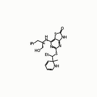 CCC(Sc1nc(N[C@@H](CO)CC(C)C)c2sc(=O)[nH]c2n1)C1(C)C=CC=CN1